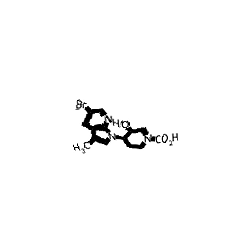 Cc1cn(C2CCN(C(=O)O)CC2O)c2ncc(Br)cc12